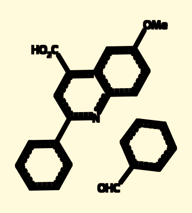 COc1ccc2nc(-c3ccccc3)cc(C(=O)O)c2c1.O=Cc1ccccc1